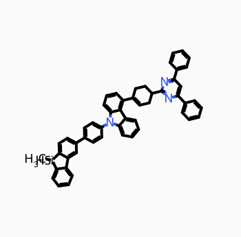 C[SiH]1c2ccccc2-c2cc(-c3ccc(-n4c5ccccc5c5c(C6=CCC(c7nc(-c8ccccc8)cc(-c8ccccc8)n7)CC6)cccc54)cc3)ccc21